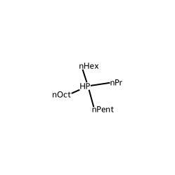 CCCCCCCC[PH](CCC)(CCCCC)CCCCCC